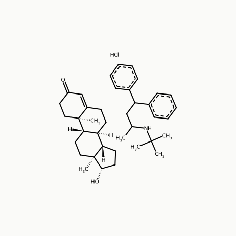 CC(CC(c1ccccc1)c1ccccc1)NC(C)(C)C.C[C@]12CC[C@H]3[C@@H](CCC4=CC(=O)CC[C@@]43C)[C@@H]1CC[C@@H]2O.Cl